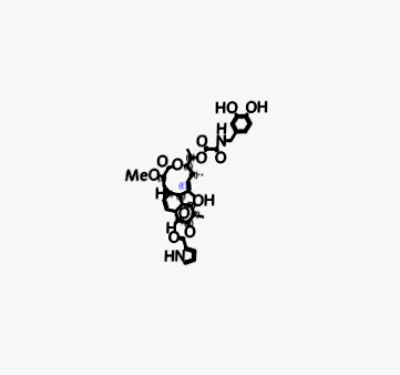 CO[C@H]1C[C@H]2C=CC3C4[C@H](O)[C@@H](C)[C@@H](OC(=O)c5ccc[nH]5)[C@@H]3O[C@]42/C(C)=C/[C@@H](C)[C@@H]([C@@H](C)OC(=O)C(=O)NCc2ccc(O)c(O)c2)OC1=O